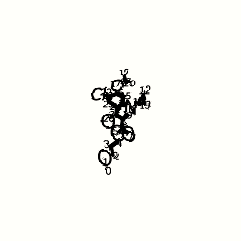 COCCCOC(=O)c1cn(C2CC2)c2cc(OC(C)C)c(Cl)cc2c1=O